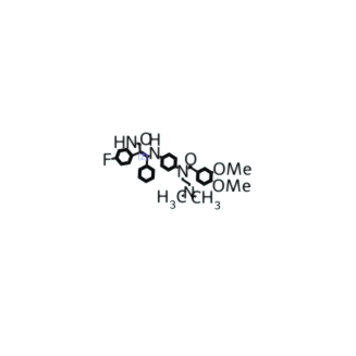 COc1ccc(C(=O)N(CCN(C)C)c2ccc(N/C(=C3\C(=O)Nc4cc(F)ccc43)c3ccccc3)cc2)cc1OC